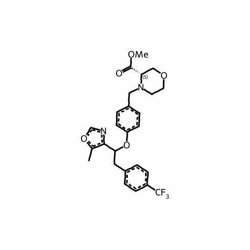 COC(=O)[C@@H]1COCCN1Cc1ccc(OC(Cc2ccc(C(F)(F)F)cc2)c2ncoc2C)cc1